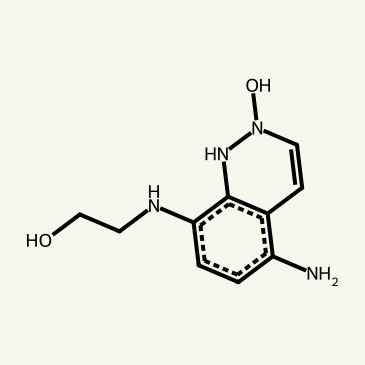 Nc1ccc(NCCO)c2c1C=CN(O)N2